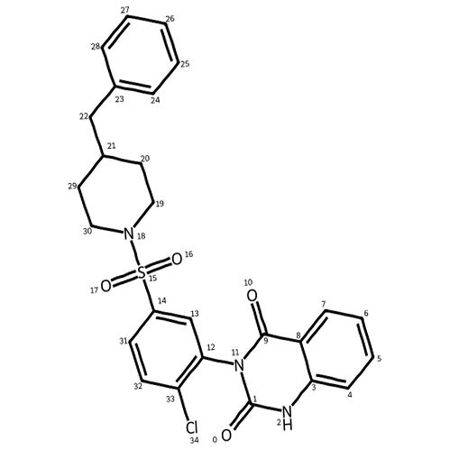 O=c1[nH]c2ccccc2c(=O)n1-c1cc(S(=O)(=O)N2CCC(Cc3ccccc3)CC2)ccc1Cl